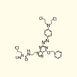 O=NN(CCCl)C(=O)NCCn1cnc2c(OCc3ccccc3)nc(/N=N/c3ccc(N(CCCl)CCCl)cc3)nc21